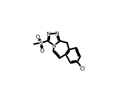 CS(=O)(=O)c1nnc2n1C=Cc1cc(Cl)ccc1C2